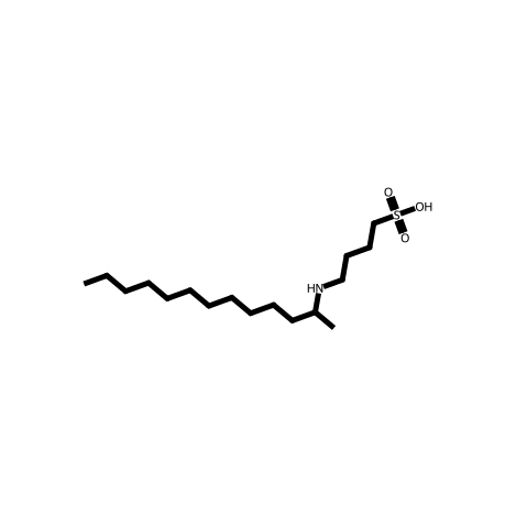 CCCCCCCCCCCC(C)NCCCCS(=O)(=O)O